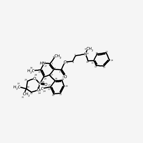 CC1=C(C(=O)OCCN(C)Cc2ccccc2)C(c2ccccc2C(F)(F)F)C(P2(=O)OCC(C)(C)CO2)=C(C)N1